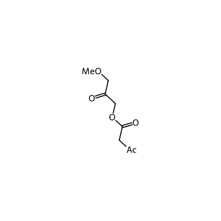 COCC(=O)COC(=O)CC(C)=O